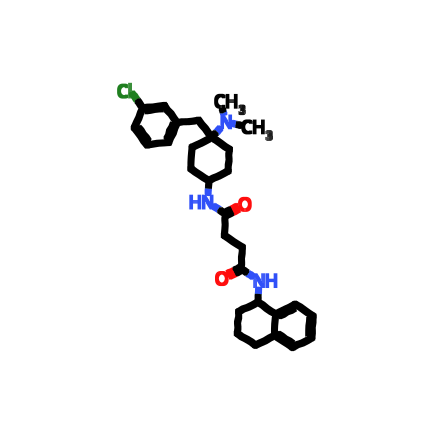 CN(C)C1(Cc2cccc(Cl)c2)CCC(NC(=O)CCC(=O)NC2CCCc3ccccc32)CC1